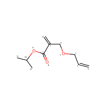 C=CCOCC(=C)C(=O)OC(C)C